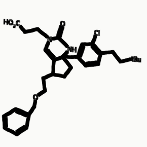 CC(C)(C)CCc1ccc(C23CCC(CCOCc4ccccc4)C2=CN(CCC(=O)O)C(=O)N3)cc1Cl